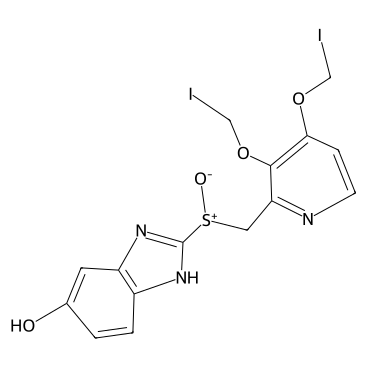 [O-][S+](Cc1nccc(OCI)c1OCI)c1nc2cc(O)ccc2[nH]1